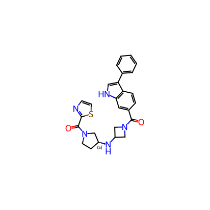 O=C(c1ccc2c(-c3ccccc3)c[nH]c2c1)N1CC(N[C@H]2CCN(C(=O)c3nccs3)C2)C1